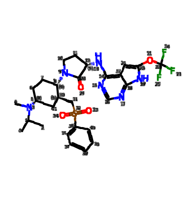 CC(C)N(C)[C@@H]1CC[C@H](N2CC[C@H](Nc3ncnc4[nH]c(OC(F)(F)F)cc34)C2=O)[C@@H](CS(=O)(=O)c2ccccc2)C1